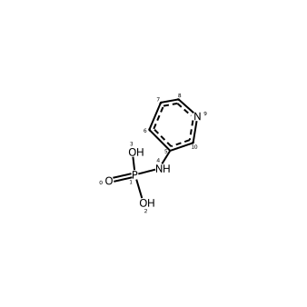 O=P(O)(O)Nc1cccnc1